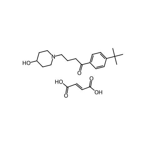 CC(C)(C)c1ccc(C(=O)CCCN2CCC(O)CC2)cc1.O=C(O)/C=C/C(=O)O